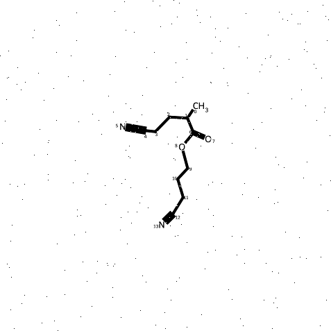 CC(CCC#N)C(=O)OCCCC#N